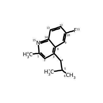 Cc1cc(CC(C)C)c2cc(F)ccc2n1